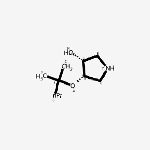 CCCC(C)(C)O[C@H]1CNC[C@H]1O